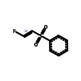 O=S(=O)(/C=C/F)c1ccccc1